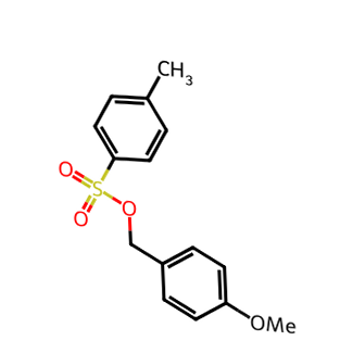 COc1ccc(COS(=O)(=O)c2ccc(C)cc2)cc1